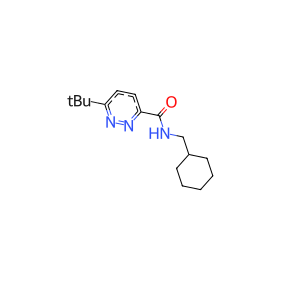 CC(C)(C)c1ccc(C(=O)NCC2CCCCC2)nn1